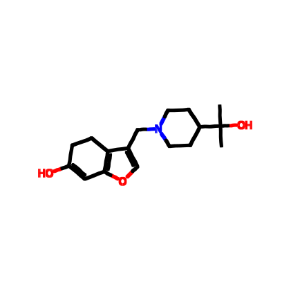 CC(C)(O)C1CCN(Cc2coc3c2CCC(O)=C3)CC1